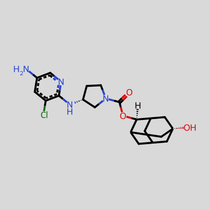 Nc1cnc(N[C@@H]2CCN(C(=O)O[C@H]3C4CC5CC3C[C@](O)(C5)C4)C2)c(Cl)c1